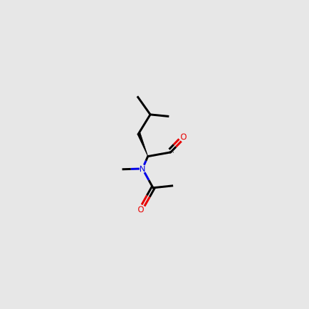 CC(=O)N(C)[C@H]([C]=O)CC(C)C